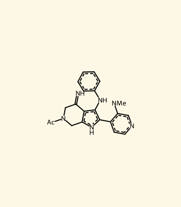 CNc1cnccc1-c1[nH]c2c(c1Nc1ccccc1)C(=N)CN(C(C)=O)C2